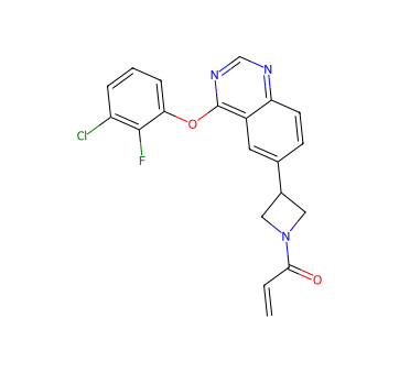 C=CC(=O)N1CC(c2ccc3ncnc(Oc4cccc(Cl)c4F)c3c2)C1